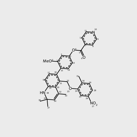 COc1cc(OC(=O)c2ccncc2)ccc1-c1ccc2c(c1COc1cc([N+](=O)[O-])ccc1C)C(C)=CC(C)(C)N2